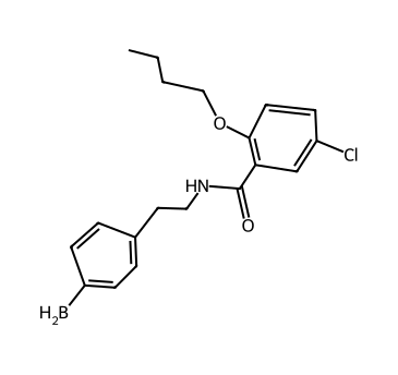 Bc1ccc(CCNC(=O)c2cc(Cl)ccc2OCCCC)cc1